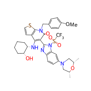 COc1ccc(Cn2c(=O)c(-c3nc4ccc(N5C[C@@H](C)O[C@@H](C)C5)cc4n3S(=O)(=O)C(F)(F)F)c(N[C@H]3CCCC[C@H]3O)c3ccsc32)cc1